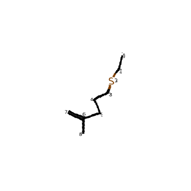 [CH2]CSCCCC(=C)C